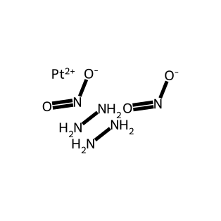 NN.NN.O=N[O-].O=N[O-].[Pt+2]